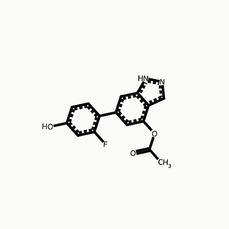 CC(=O)Oc1cc(-c2ccc(O)cc2F)cc2[nH]ncc12